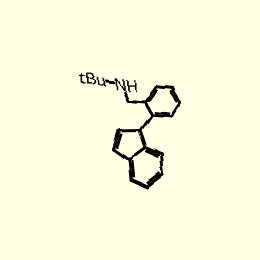 CC(C)(C)NCc1ccccc1C1C=Cc2ccccc21